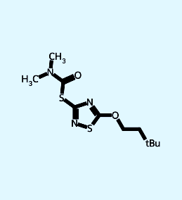 CN(C)C(=O)Sc1nsc(OCCC(C)(C)C)n1